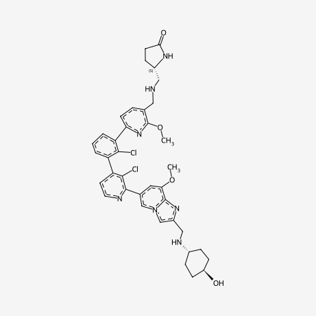 COc1nc(-c2cccc(-c3ccnc(-c4cc(OC)c5nc(CN[C@H]6CC[C@H](O)CC6)cn5c4)c3Cl)c2Cl)ccc1CNC[C@@H]1CCC(=O)N1